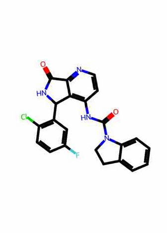 O=C1NC(c2cc(F)ccc2Cl)c2c(NC(=O)N3CCc4ccccc43)ccnc21